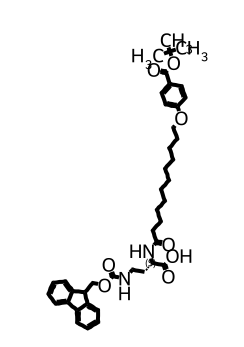 CC(C)(C)OC(=O)c1ccc(OCCCCCCCCCCCC(=O)N[C@@H](CCNC(=O)OCC2c3ccccc3-c3ccccc32)C(=O)O)cc1